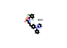 O=C(NC(C/C=C/c1ccc(N(c2ccccc2)c2ncccn2)cc1)C(=O)O)c1c(Cl)cccc1Cl.[NaH]